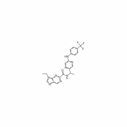 CCn1cnc2cnc(C(=O)NC(C)c3cnc(Nc4ccc(C(F)(F)F)cc4)cn3)nc21